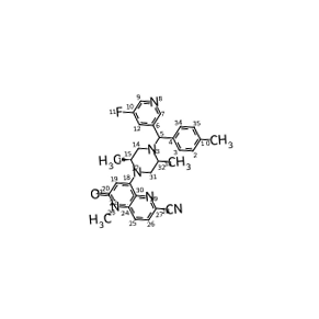 Cc1ccc(C(c2cncc(F)c2)N2C[C@H](C)N(c3cc(=O)n(C)c4ccc(C#N)nc34)CC2C)cc1